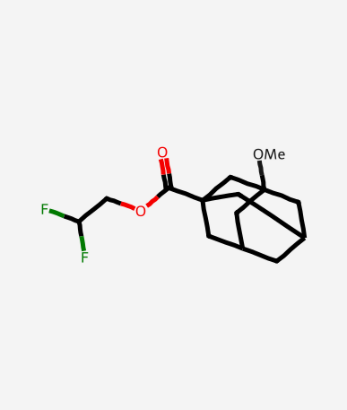 COC12CC3CC(C1)CC(C(=O)OCC(F)F)(C3)C2